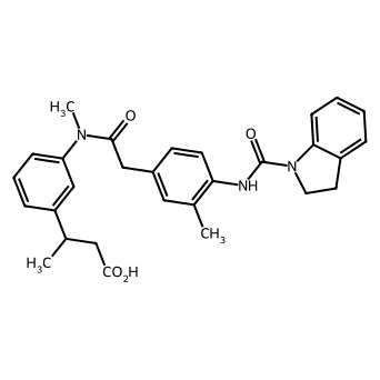 Cc1cc(CC(=O)N(C)c2cccc(C(C)CC(=O)O)c2)ccc1NC(=O)N1CCc2ccccc21